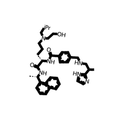 CC(C)CN(CCO)CCC[C@H](NC(=O)c1ccc(CNCC(C)c2ncc[nH]2)cc1)C(=O)N[C@@H](C)c1cccc2ccccc12